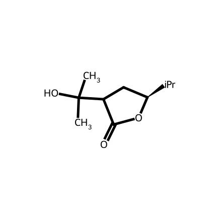 CC(C)[C@@H]1CC(C(C)(C)O)C(=O)O1